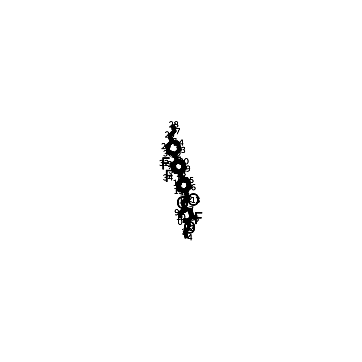 C=C(OCC)/C(F)=C\C(=C/C)OC(=O)c1ccc(-c2ccc(C3CCC(CCC)CC3)c(F)c2F)cc1